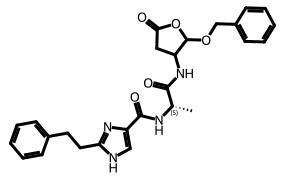 C[C@H](NC(=O)c1c[nH]c(CCc2ccccc2)n1)C(=O)NC1CC(=O)OC1OCc1ccccc1